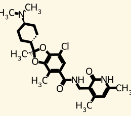 Cc1cc(C)c(CNC(=O)c2cc(Cl)c3c(c2C)O[C@@](C)([C@H]2CC[C@H](N(C)C)CC2)O3)c(=O)[nH]1